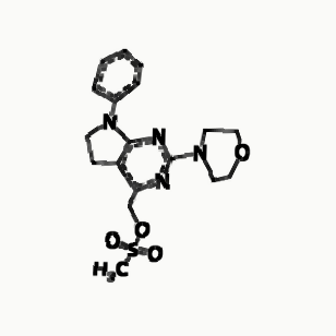 CS(=O)(=O)OCc1nc(N2CCOCC2)nc2c1CCN2c1ccccc1